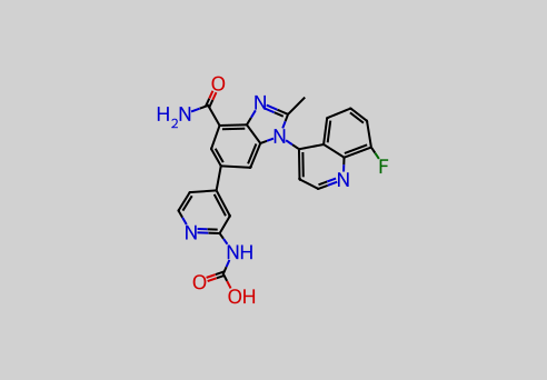 Cc1nc2c(C(N)=O)cc(-c3ccnc(NC(=O)O)c3)cc2n1-c1ccnc2c(F)cccc12